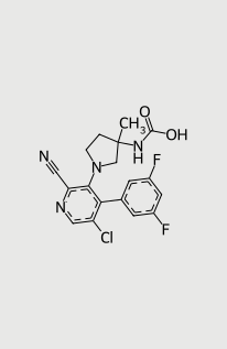 CC1(NC(=O)O)CCN(c2c(C#N)ncc(Cl)c2-c2cc(F)cc(F)c2)C1